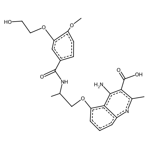 COc1ccc(C(=O)NC(C)COc2cccc3nc(C)c(C(=O)O)c(N)c23)cc1OCCO